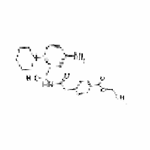 CCOC(=O)c1ccc(CC(=O)NC(C)c2cc(N)ccc2N2CCCCC2)cc1